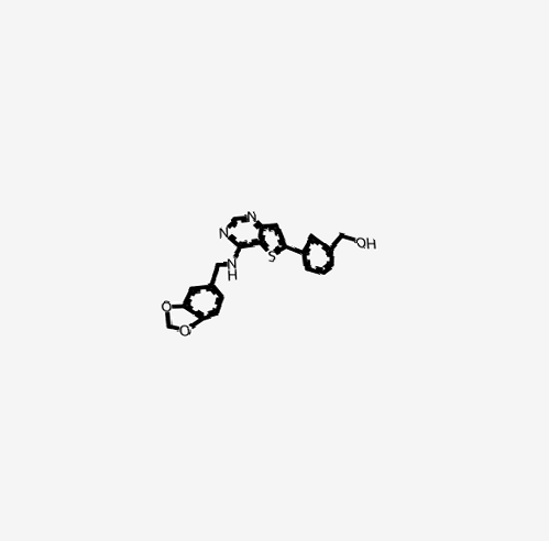 OCc1cccc(-c2cc3ncnc(NCc4ccc5c(c4)OCO5)c3s2)c1